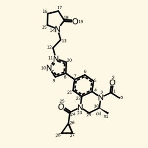 CC(=O)N1c2ccc(-c3cnn(CCN4CCCC4=O)c3)cc2N(C(=O)C2CC2)C[C@@H]1C